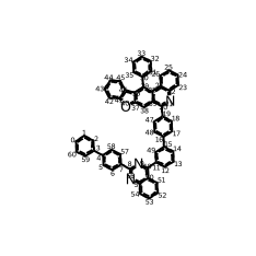 c1ccc(-c2ccc(-c3nc(-c4cccc(-c5ccc(-c6nc7ccccc7c7c(-c8ccccc8)c8c(cc67)oc6ccccc68)cc5)c4)c4ccccc4n3)cc2)cc1